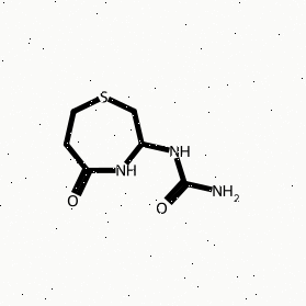 NC(=O)NC1CSCCC(=O)N1